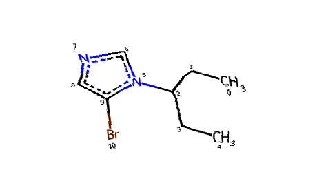 CCC(CC)n1cncc1Br